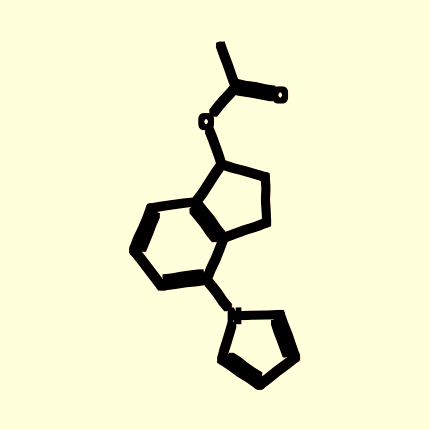 CC(=O)OC1CCc2c1cccc2-n1cccc1